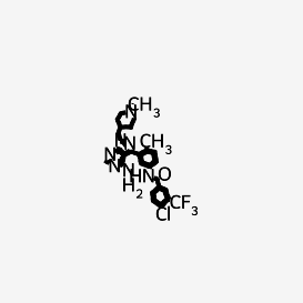 Cc1ccc(NC(=O)c2ccc(Cl)c(C(F)(F)F)c2)cc1-c1nn(CC2CCN(C)CC2)c2ncnc(N)c12